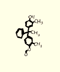 Cc1cc(C(C)(c2ccccc2)c2ccc(OC=O)c(C)c2)ccc1O